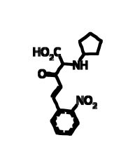 O=C(O)C(NC1CCCC1)C(=O)C=Cc1ccccc1[N+](=O)[O-]